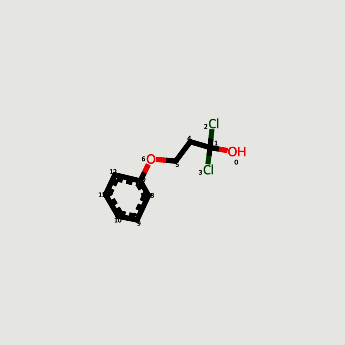 OC(Cl)(Cl)CCOc1ccccc1